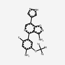 [2H]C([2H])([2H])Oc1cc(-c2ncc(-c3cn[nH]c3)c3onc(N)c23)c(F)cc1N